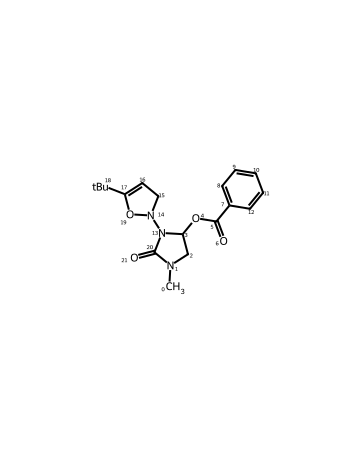 CN1CC(OC(=O)c2ccccc2)N(N2CC=C(C(C)(C)C)O2)C1=O